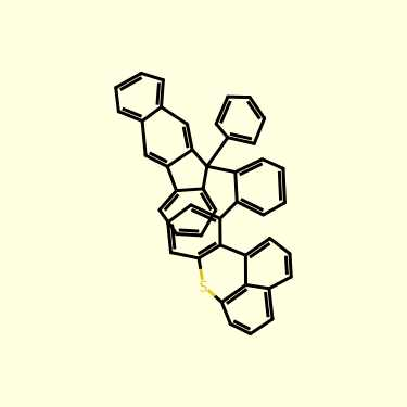 c1ccc(C2(c3ccccc3-c3cccc4c3-c3cccc5cccc(c35)S4)c3ccccc3-c3cc4ccccc4cc32)cc1